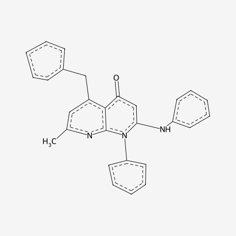 Cc1cc(Cc2ccccc2)c2c(=O)cc(Nc3ccccc3)n(-c3ccccc3)c2n1